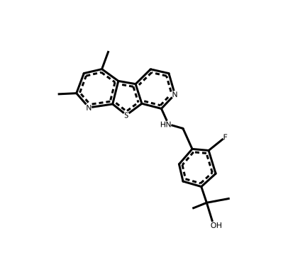 Cc1cc(C)c2c(n1)sc1c(NCc3ccc(C(C)(C)O)cc3F)nccc12